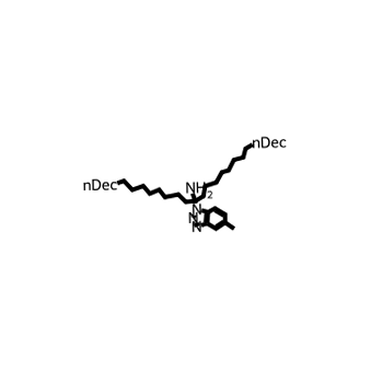 CCCCCCCCCCCCCCCCCCC(N)(CCCCCCCCCCCCCCCCCC)n1nnc2cc(C)ccc21